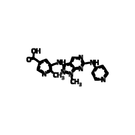 Cc1ncc(C(=O)O)cc1Nc1nn(C)c2nc(Nc3ccncc3)ncc12